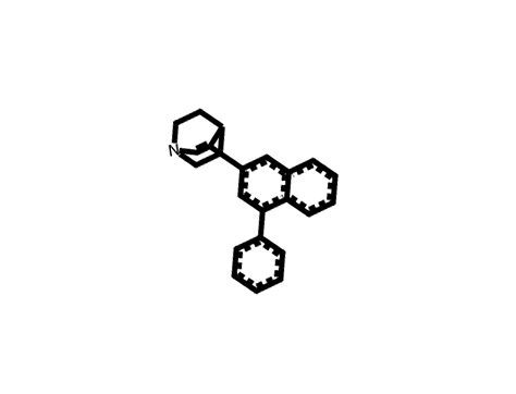 C1=C(c2cc(-c3ccccc3)c3ccccc3c2)C2CCN1CC2